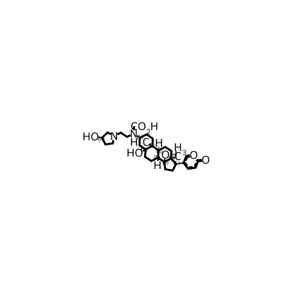 C[C@]12CC[C@H](N(CCN3CC[C@@H](O)C3)C(=O)O)C[C@@]1(O)CC[C@@H]1[C@@H]2CC[C@]2(C)[C@@H](c3ccc(=O)oc3)CC[C@]12O